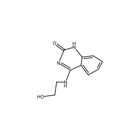 O=c1nc(NCCO)c2ccccc2[nH]1